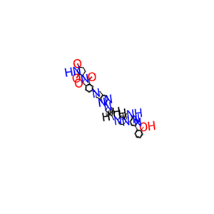 O=C1CCC(N2C(=O)c3ccc(N4Cc5cnc(N6C[C@@H]7C(CN8CCN9c%10cc(-c%11ccccc%11O)nnc%10NC[C@H]9C8)[C@@H]7C6)nc5C4)cc3C2=O)C(=O)N1